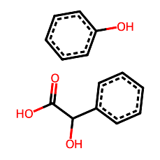 O=C(O)C(O)c1ccccc1.Oc1ccccc1